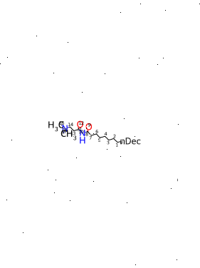 CCCCCCCCCCCCCCCCCC(=O)NC(=O)CCN(C)C